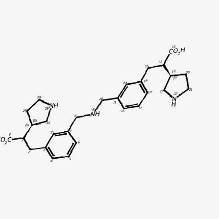 O=C(O)C(Cc1cccc(CNCc2cccc(CC(C(=O)O)[C@H]3CCNC3)c2)c1)[C@H]1CCNC1